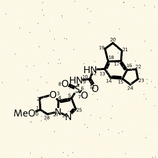 COC1COc2c(S(=O)(=O)NC(=O)Nc3cc4c(c5c3CCC5)CCC4)cnn2C1